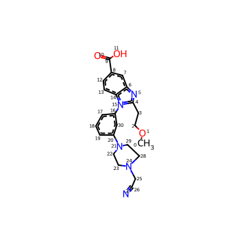 COCCc1nc2cc(C(=O)O)ccc2n1-c1cccc(N2CCN(CC#N)CC2)c1